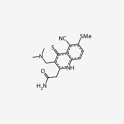 CSc1ccc2[nH]c(CC(N)=O)c(CN(C)C)c(=S)c2c1C#N